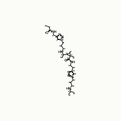 CCC(=O)NCc1cn(CCCNC(C)C2CC2(C)C(=O)NCCc2cn(CCCNC(C)C)nn2)nn1